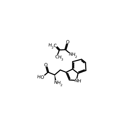 C=C(C)C(N)=O.N[C@H](Cc1c[nH]c2ccccc12)C(=O)O